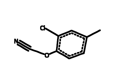 Cc1ccc(OC#N)c(Cl)c1